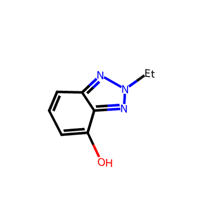 CCn1nc2cccc(O)c2n1